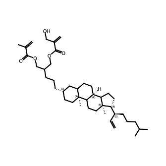 C=C[C@H](CCCC(C)C)[C@H]1CCC2[C@@H]3CCC4C[C@@H](CCCC(COC(=O)C(=C)C)COC(=O)C(=C)CO)CC[C@]4(C)C3CC[C@@]21C